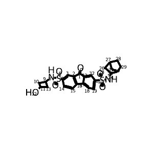 O=C1c2cc(S(=O)(=O)NC3CC(O)C3)ccc2-c2ccc(S(=O)(=O)NC3CC4CCC3C4)cc21